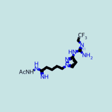 CC(=O)NNC(=N)CCCCn1ccc(N/C(N)=N\CC(F)(F)F)n1